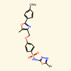 COc1ccc(-c2nc(COc3ccc(S(=O)(=O)Nc4nnc(C(C)C)s4)cc3)c(C)o2)cc1